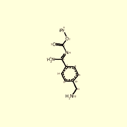 CC(C)OC(=O)/N=C(\N)c1ccc(CN)cc1